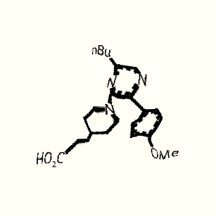 CCCCc1cnc(-c2ccc(OC)cc2)c(N2CCC(CCC(=O)O)CC2)n1